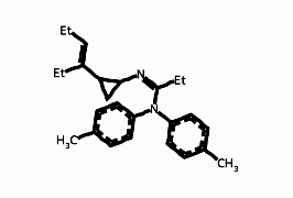 CC/C=C(\CC)C1CC1/N=C(/CC)N(c1ccc(C)cc1)c1ccc(C)cc1